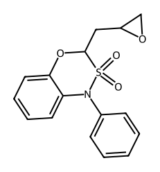 O=S1(=O)C(CC2CO2)Oc2ccccc2N1c1ccccc1